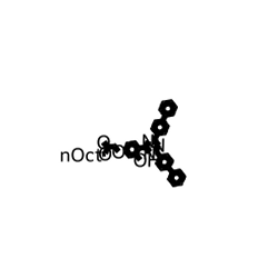 CCCCCCCCOC(=O)COc1ccc(-c2nc(-c3ccc(-c4ccccc4)cc3)nc(-c3ccc(-c4ccccc4)cc3)n2)c(O)c1